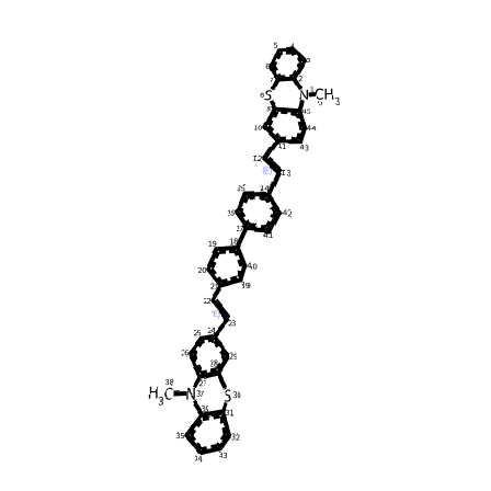 CN1c2ccccc2Sc2cc(/C=C/c3ccc(-c4ccc(/C=C/c5ccc6c(c5)Sc5ccccc5N6C)cc4)cc3)ccc21